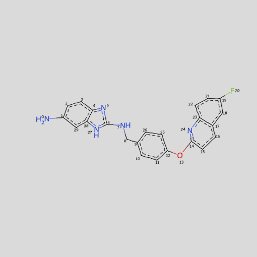 Nc1ccc2nc(NCc3ccc(Oc4ccc5cc(F)ccc5n4)cc3)[nH]c2c1